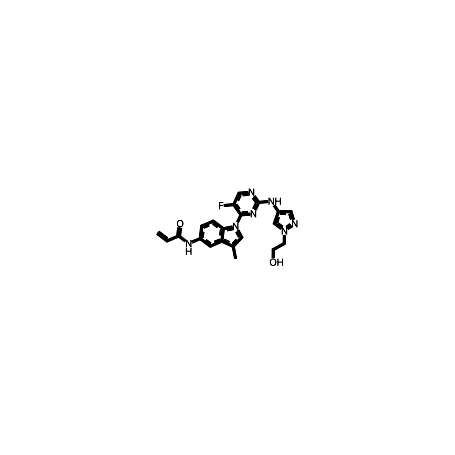 C=CC(=O)Nc1ccc2c(c1)c(C)cn2-c1nc(Nc2cnn(CCO)c2)ncc1F